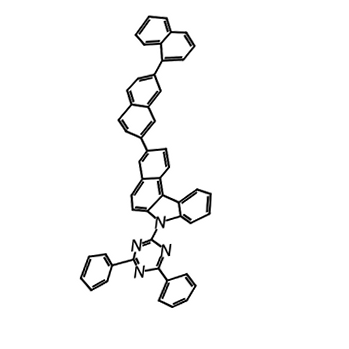 c1ccc(-c2nc(-c3ccccc3)nc(-n3c4ccccc4c4c5ccc(-c6ccc7ccc(-c8cccc9ccccc89)cc7c6)cc5ccc43)n2)cc1